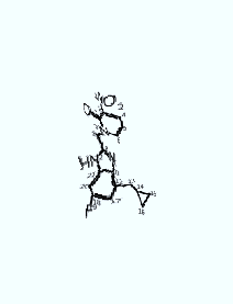 O=c1c([N+](=O)[O-])cccn1Cc1nc2c(CC3CC3)cc(F)cc2[nH]1